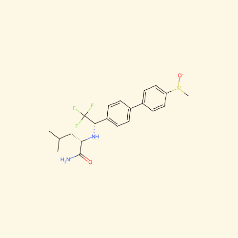 CC(C)C[C@H](N[C@@H](c1ccc(-c2ccc([S+](C)[O-])cc2)cc1)C(F)(F)F)C(N)=O